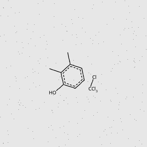 Cc1cccc(O)c1C.ClC(Cl)(Cl)Cl